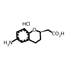 Cl.Nc1ccc2c(c1)CC[C@H](CC(=O)O)O2